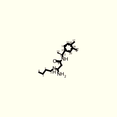 CCCCNC(N)CC(=O)N[C@@H](C)c1ccc(C)c(F)c1